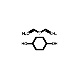 C=CSC=C.OC1CCC(O)CC1